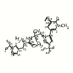 Cn1cc(-c2cc(C(F)(F)F)nn2CC(C)(C)NC(=O)[C@H](N)Cc2cnn(C(F)F)c2)cc(F)c1=O